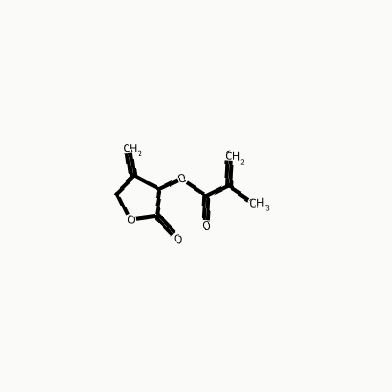 C=C(C)C(=O)OC1C(=C)COC1=O